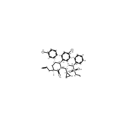 C=CC[C@@]1(C)C[C@H](c2cccc(Cl)c2)[C@@H](c2ccc(Cl)cc2)N([C@H](CN(c2ccccc2)S(=O)(=O)CC)C2CC2)C1=O